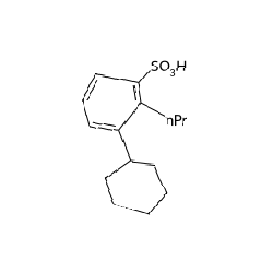 CCCc1c(C2CCCCC2)cccc1S(=O)(=O)O